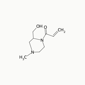 C=CC(=O)N1CCN(C)CC1CO